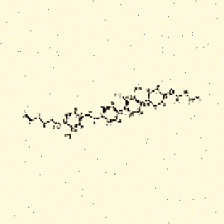 C=CCCCOc1ccc(CCc2ccc(-c3ccc(C4CCC(OCCCC)CC4)c(F)c3F)cc2)cc1F